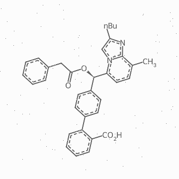 CCCCc1cn2c([C@H](OC(=O)Cc3ccccc3)c3ccc(-c4ccccc4C(=O)O)cc3)ccc(C)c2n1